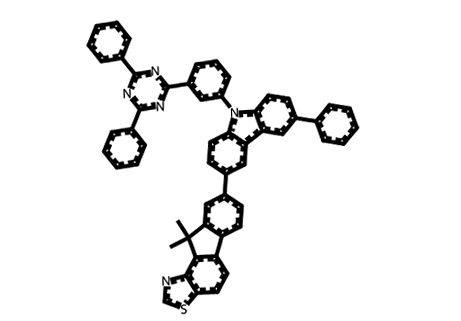 CC1(C)c2cc(-c3ccc4c(c3)c3cc(-c5ccccc5)ccc3n4-c3cccc(-c4nc(-c5ccccc5)nc(-c5ccccc5)n4)c3)ccc2-c2ccc3scnc3c21